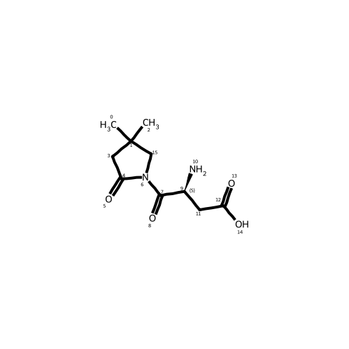 CC1(C)CC(=O)N(C(=O)[C@@H](N)CC(=O)O)C1